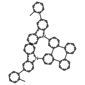 Cc1ccccc1-c1ccc2c(c1)c1ccccc1n2-c1ccc2c(c1)-c1cc(-n3c4ccccc4c4cc(-c5ccccc5C)ccc43)ccc1-c1ccccc1-c1ccccc1-2